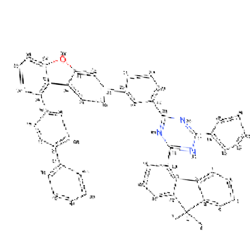 CC1(C)c2ccccc2-c2c(-c3nc(-c4ccccc4)nc(-c4cccc(-c5ccc6c(c5)oc5cccc(-c7ccc(-c8ccccc8)cc7)c56)c4)n3)cccc21